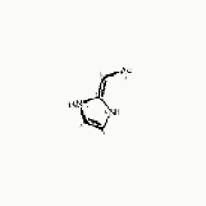 CC(=O)C=C1NC=CN1